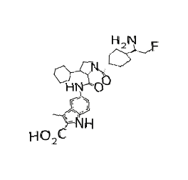 Cc1c(C(=O)O)[nH]c2ccc(NC(=O)C3C(C4CCCCC4)CCN3C(=O)[C@H]3CC[C@H](C(N)CF)CC3)cc12